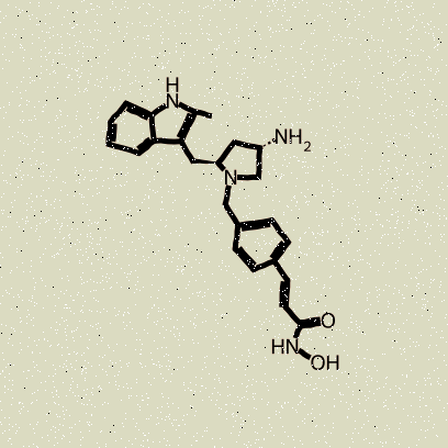 Cc1[nH]c2ccccc2c1C[C@H]1C[C@H](N)CN1Cc1ccc(/C=C/C(=O)NO)cc1